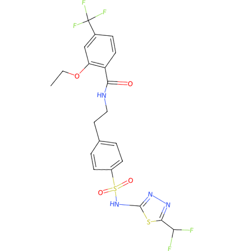 CCOc1cc(C(F)(F)F)ccc1C(=O)NCCc1ccc(S(=O)(=O)Nc2nnc(C(F)F)s2)cc1